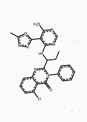 CCC(Nc1ncnc(N)c1-c1nnc(C)o1)c1nc2cccc(Cl)c2c(=O)n1-c1ccccc1